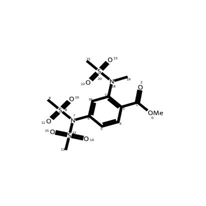 COC(=O)c1ccc(N(S(C)(=O)=O)S(C)(=O)=O)cc1N(C)S(C)(=O)=O